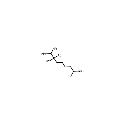 CCCCC(Br)CCCCC(C(C)=O)(C(C)C)C(CCC)CCC